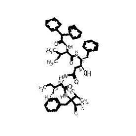 CC[C@H](C)[C@H](NC(=O)C[C@H](O)[C@H](Cc1ccccc1)NC(=O)C(NC(=O)C(c1ccccc1)c1ccccc1)C(C)C)C(=O)NC(Cc1ccccc1)(C(=O)O)C(C)C